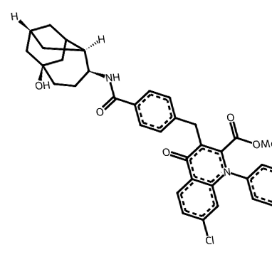 COC(=O)c1c(Cc2ccc(C(=O)N[C@H]3CC[C@@]4(O)CC5C[C@H](C[C@@H]53)C4)cc2)c(=O)c2ccc(Cl)cc2n1-c1ccccc1